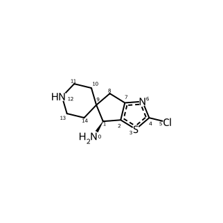 N[C@@H]1c2sc(Cl)nc2CC12CCNCC2